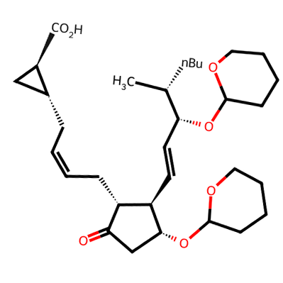 CCCC[C@@H](C)[C@@H](/C=C/[C@H]1[C@H](OC2CCCCO2)CC(=O)[C@@H]1C/C=C\C[C@@H]1C[C@H]1C(=O)O)OC1CCCCO1